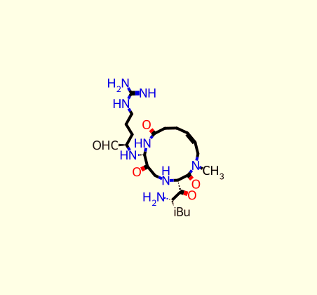 CC[C@@H](C)[C@H](N)C(=O)[C@@H]1NCC(=O)[C@H](N[C@@H](C=O)CCCNC(=N)N)NC(=O)CCC=CCN(C)C1=O